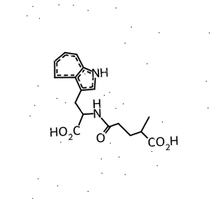 CC(CCC(=O)NC(Cc1c[nH]c2ccccc12)C(=O)O)C(=O)O